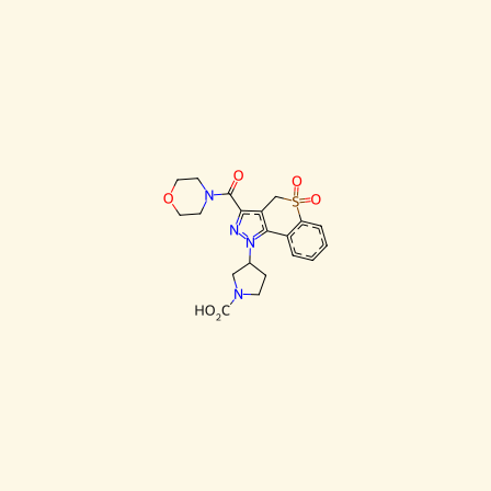 O=C(O)N1CCC(n2nc(C(=O)N3CCOCC3)c3c2-c2ccccc2S(=O)(=O)C3)C1